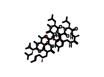 C=C(N[C@@H](CC)C(=O)N(C)CC(=C)N(C)[C@@H](CC(C)C)C(=O)NC(C(=O)N(C)[C@@H](CC(C)C)C(=O)N[C@@H](C)C(=C)NCC1=CC(C)C[C@@H](C=O)N1C)C(C)C)C(C[C@H](C)C/C=C/C)N(C)C(=O)C(C(C)C)N(C)C(=O)[C@H](CC(C)C)N(C)C